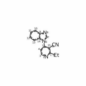 CCc1nccc(-n2cnc3ccccc32)c1C#N